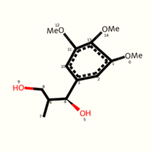 COc1cc([C@@H](O)C(C)CO)cc(OC)c1OC